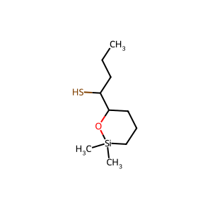 CCCC(S)C1CCC[Si](C)(C)O1